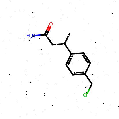 CC(CC(N)=O)c1ccc(CCl)cc1